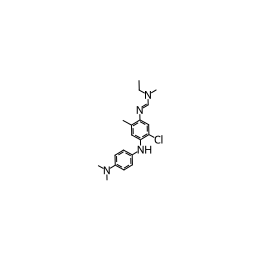 CCN(C)C=Nc1cc(Cl)c(Nc2ccc(N(C)C)cc2)cc1C